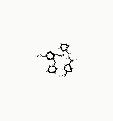 O=C(O)c1ccc(C(=O)O)c(Cc2ccccc2)c1.O=C(O)c1ccc(C(=O)OCc2ccccc2)cc1